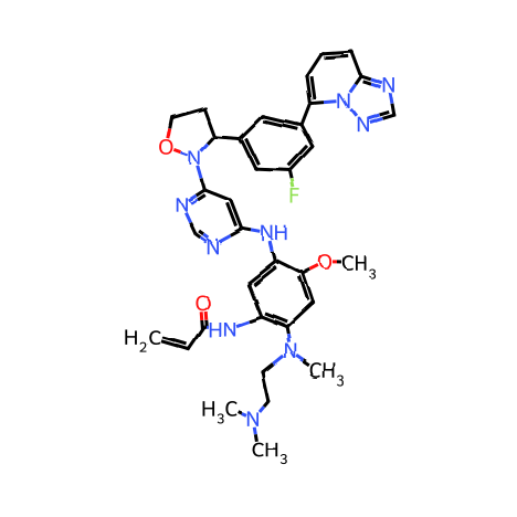 C=CC(=O)Nc1cc(Nc2cc(N3OCCC3c3cc(F)cc(-c4cccc5ncnn45)c3)ncn2)c(OC)cc1N(C)CCN(C)C